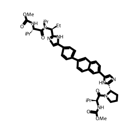 CC[C@@H](c1ncc(-c2ccc(-c3ccc4cc(-c5cnc([C@@H]6CCCN6C(=O)[C@@H](NC(=O)OC)C(C)C)[nH]5)ccc4c3)cc2)[nH]1)N(C(=O)[C@@H](NC(=O)OC)C(C)C)C(C)C